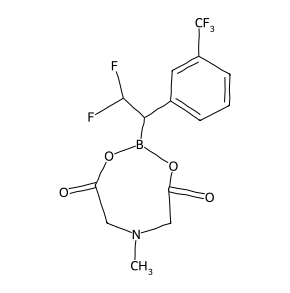 CN1CC(=O)OB(C(c2cccc(C(F)(F)F)c2)C(F)F)OC(=O)C1